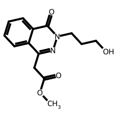 COC(=O)Cc1nn(CCCO)c(=O)c2ccccc12